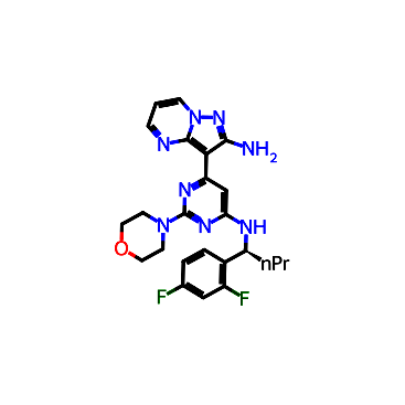 CCC[C@H](Nc1cc(-c2c(N)nn3cccnc23)nc(N2CCOCC2)n1)c1ccc(F)cc1F